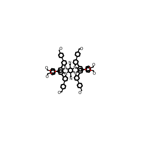 N#Cc1c(-n2c3ccc(-c4ccc(C=O)cc4)cc3c3cc(-c4ccc(C=O)cc4)ccc32)c(-n2c3ccc(-c4ccc(C=O)cc4)cc3c3cc(-c4ccc(C=O)cc4)ccc32)c(C#N)c(-n2c3ccc(-c4ccc(C=O)cc4)cc3c3cc(-c4ccc(C=O)cc4)ccc32)c1-n1c2ccc(-c3ccc(C=O)cc3)cc2c2cc(-c3ccc(C=O)cc3)ccc21